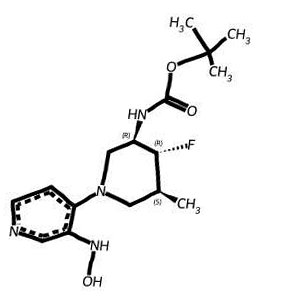 C[C@H]1CN(c2ccncc2NO)C[C@@H](NC(=O)OC(C)(C)C)[C@@H]1F